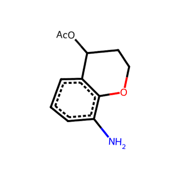 CC(=O)OC1CCOc2c(N)cccc21